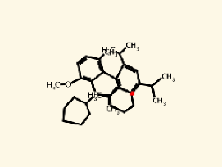 COc1ccc(C)c(-c2c(C(C)C)cc(C(C)C)cc2C(C)C)c1P(C1CCCCC1)C1CCCCC1